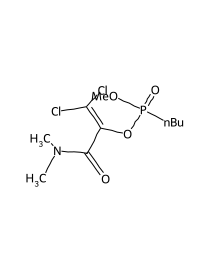 CCCCP(=O)(OC)OC(C(=O)N(C)C)=C(Cl)Cl